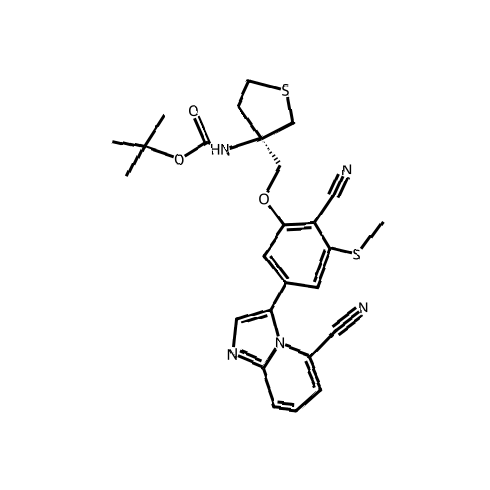 CSc1cc(-c2cnc3cccc(C#N)n23)cc(OC[C@]2(NC(=O)OC(C)(C)C)CCSC2)c1C#N